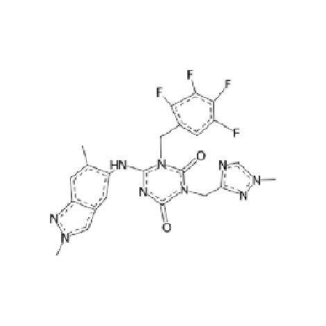 Cc1cc2nn(C)cc2cc1Nc1nc(=O)n(Cc2ncn(C)n2)c(=O)n1Cc1cc(F)c(F)c(F)c1F